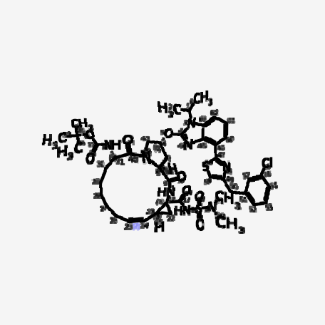 CC(C)n1c(O[C@@H]2C[C@H]3C(=O)N[C@]4(C(=O)NS(=O)(=O)N(C)C)C[C@H]4/C=C\CCCCC[C@H](NC(=O)OC(C)(C)C)C(=O)N3C2)nc2c(-c3nc(Cc4cccc(Cl)c4)cs3)cccc21